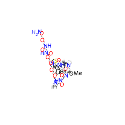 CC[C@H](C)C([C@@H](CC(=O)N1CCC[C@H]1[C@H](OC)[C@@H](C)C(=O)N[C@@H](Cc1ccccc1)c1nccs1)OC)N(C)C(=O)CNC(=O)C(C(C)C)N(C)CCOCCOCCOCCOC(=O)NCC(=O)NCCOCCON